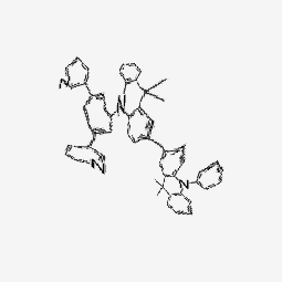 CC1(C)c2ccccc2N(c2ccccc2)c2ccc(-c3ccc4c(c3)C(C)(C)c3ccccc3N4c3cc(-c4cccnc4)cc(-c4cccnc4)c3)cc21